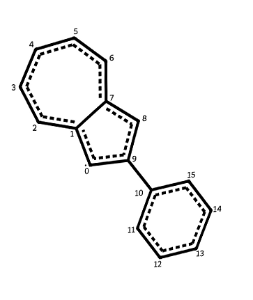 [c]1c2cccccc-2cc1-c1ccccc1